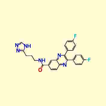 O=C(NCCCc1nnc[nH]1)c1ccc2nc(-c3ccc(F)cc3)c(-c3ccc(F)cc3)nc2c1